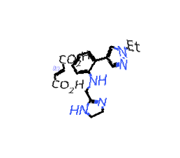 CCn1cc(-c2ccccc2NCC2=NCCN2)cn1.O=C(O)/C=C/C(=O)O